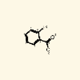 [O]C(=O)c1ccccc1F